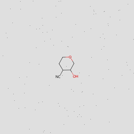 N#CC1CCOCC1O